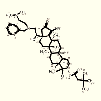 CC(C)C1=C2[C@@]([C@@H](O)CN(CCN(C)C)Cc3ccccn3)(CC[C@]3(C)[C@]2(C)CC[C@@H]2[C@@]4(C)CC[C@H](OC(=O)CC(C)(C)C(=O)O)C(C)(C)[C@@H]4CC[C@]23C)CC1=O